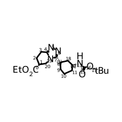 CCOC(=O)C1CCc2nnc([C@H]3CCC[C@@H](NC(=O)OC(C)(C)C)C3)n2C1